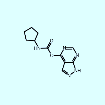 O=C(NC1CCCC1)Oc1ncnc2[nH]ncc12